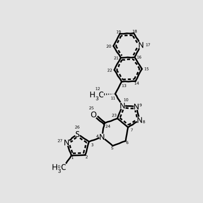 Cc1cc(N2CCc3nnn([C@H](C)c4ccc5ncccc5c4)c3C2=O)sn1